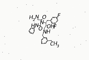 CCc1cccc(CNC[C@@H](O)[C@H](Cc2cc(F)cc(F)c2)N(C(=O)CN)C(=O)Nc2ccccc2)c1